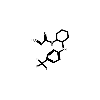 C=CC(=O)NC1CCCCC1Nc1ccc(C(F)(F)F)cc1